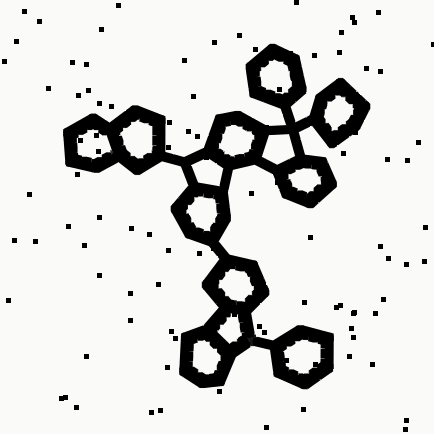 c1ccc(-n2c3ccccc3c3cc(-c4ccc5c(c4)-c4c(ccc6c4-c4ccccc4C6(c4ccccc4)c4ccccc4)C5c4ccc5ccccc5c4)ccc32)cc1